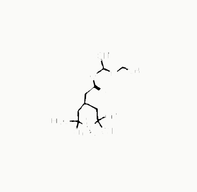 CCOC(C)OC(=O)CC1CC(C)(C)[NH+]([O-])C(C)(C)C1